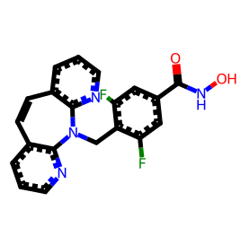 O=C(NO)c1cc(F)c(CN2c3ncccc3C=Cc3cccnc32)c(F)c1